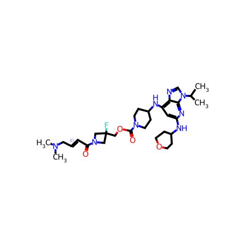 CC(C)n1cnc2c(NC3CCN(C(=O)OCC4(F)CN(C(=O)/C=C/CN(C)C)C4)CC3)cc(NC3CCOCC3)nc21